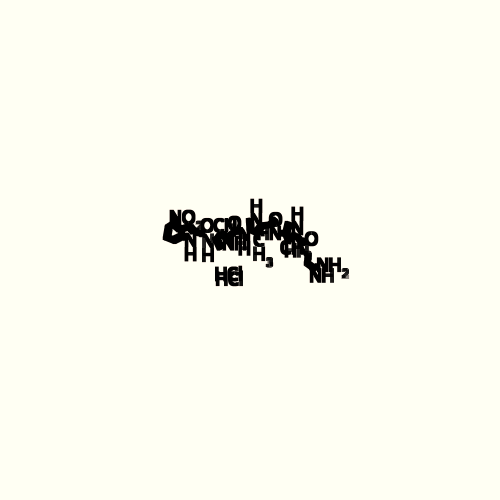 Cc1c(NC(=O)c2cc3c([N+](=O)[O-])cccc3[nH]2)c[nH]c1C(=O)Nc1c[nH]c(C(=O)Nc2c[nH]c(C(=O)NCCC(=N)N)c2C)c1C.Cl.Cl